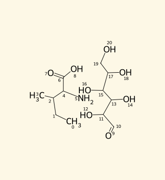 CCC(C)C(N)C(=O)O.O=CC(O)C(O)C(O)C(O)CO